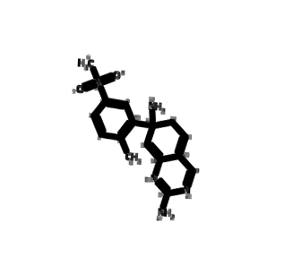 Cc1ccc(S(C)(=O)=O)cc1C1(N)C=c2nc(N)ncc2=CC1